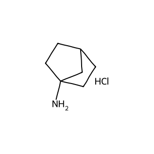 Cl.NC12CCC(CC1)C2